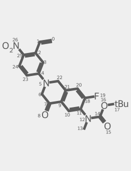 C=Cc1cc(N2CC(=O)c3cc(N(C)C(=O)OC(C)(C)C)c(F)cc3C2)ccc1[N+](=O)[O-]